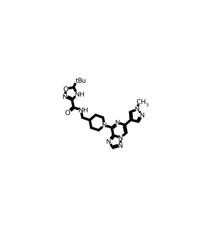 Cn1cc(-c2cn3ncnc3c(N3CCC(CNC(=O)C4=NOC(C(C)(C)C)N4)CC3)n2)cn1